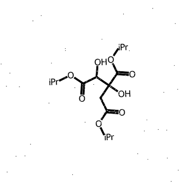 CC(C)OC(=O)CC(O)(C(=O)OC(C)C)C(O)C(=O)OC(C)C